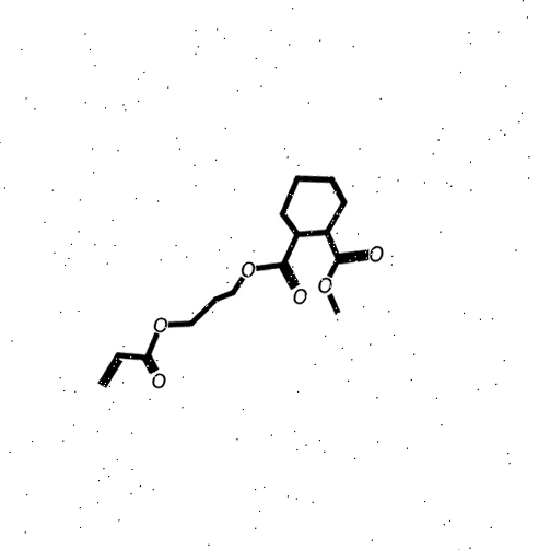 C=CC(=O)OCCCOC(=O)C1CCCCC1C(=O)OC